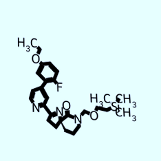 CCOc1ccc(F)c(-c2ccnc(C3=N[C@@]4(CCCN(COCC[Si](C)(C)C)C4=O)CC3)c2)c1